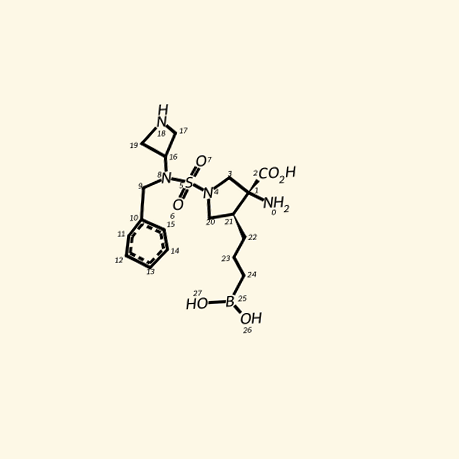 N[C@@]1(C(=O)O)CN(S(=O)(=O)N(Cc2ccccc2)C2CNC2)C[C@@H]1CCCB(O)O